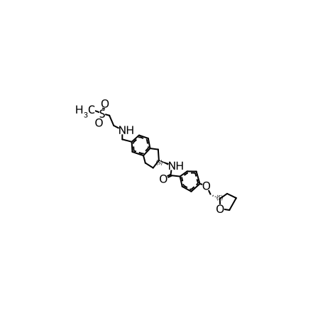 CS(=O)(=O)CCNCc1ccc2c(c1)CC[C@H](NC(=O)c1ccc(OC[C@@H]3CCCO3)cc1)C2